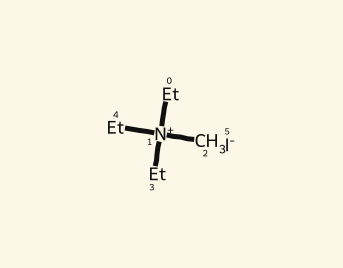 CC[N+](C)(CC)CC.[I-]